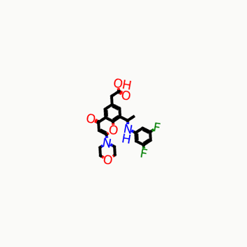 CC(Nc1cc(F)cc(F)c1)c1cc(CC(=O)O)cc2c(=O)cc(N3CCOCC3)oc12